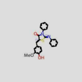 COc1cc(/C=C2\S/C(=N\c3ccccc3)N(c3ccccc3)C2=O)ccc1O